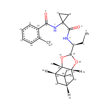 CC(C)C[C@H](NC(=O)C1(NC(=O)c2ccccc2C(F)(F)F)CC1)B1O[C@@H]2C[C@@H]3C[C@@H](C3(C)C)[C@]2(C)O1